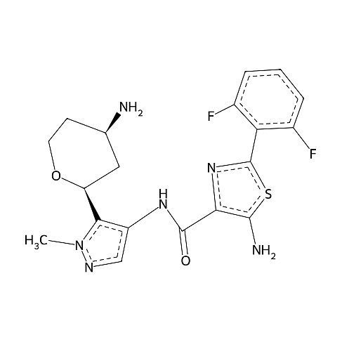 Cn1ncc(NC(=O)c2nc(-c3c(F)cccc3F)sc2N)c1[C@@H]1C[C@H](N)CCO1